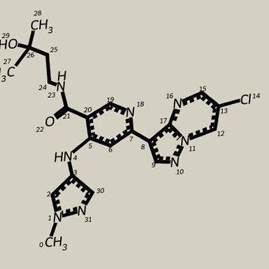 Cn1cc(Nc2cc(-c3cnn4cc(Cl)cnc34)ncc2C(=O)NCCC(C)(C)O)cn1